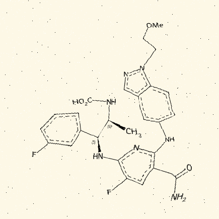 COCCn1ncc2cc(Nc3nc(N[C@@H](c4cccc(F)c4)[C@H](C)NC(=O)O)c(F)cc3C(N)=O)ccc21